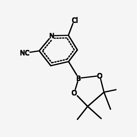 CC1(C)OB(c2cc(Cl)nc(C#N)c2)OC1(C)C